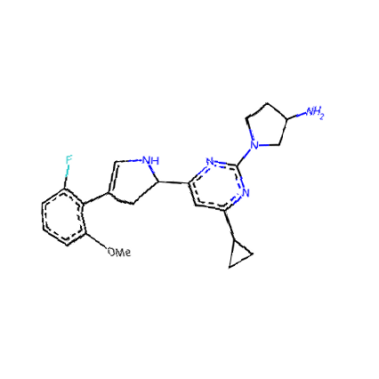 COc1cccc(F)c1C1=CNC(c2cc(C3CC3)nc(N3CCC(N)C3)n2)C1